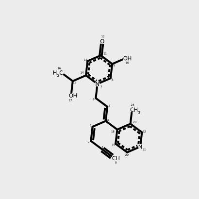 C#C/C=C\C(=C/Cn1cc(O)c(=O)cc1C(C)O)c1ccncc1C